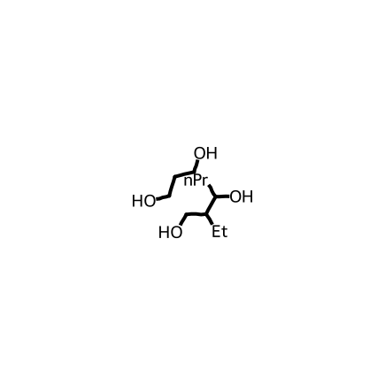 CCCC(O)C(CC)CO.OCCCO